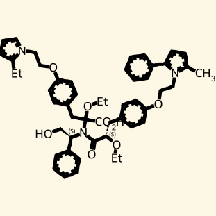 CCO[C@@H](Cc1ccc(OCCn2c(C)ccc2-c2ccccc2)cc1)C(=O)N([C@H](CO)c1ccccc1)C(Cc1ccc(OCCn2cccc2CC)cc1)(OCC)C(=O)O